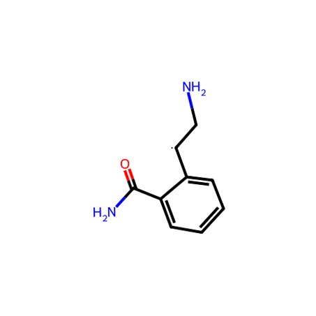 NC[CH]c1ccccc1C(N)=O